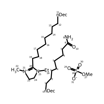 CCCCCCCCCCCCCCCCCC(N)=O.CCCCCCCCCCCCCCCCCCC1=[N+](C)CCN1CC.COS(=O)(=O)[O-]